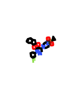 O=c1c(OC2Cc3ccccc3C2)c(N2CCN(S(=O)(=O)C3CC3)CC2)cnn1-c1cccc(F)c1